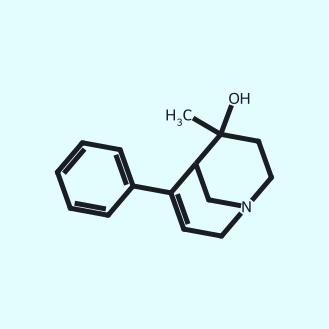 CC1(O)CCN2CC=C(c3ccccc3)C1C2